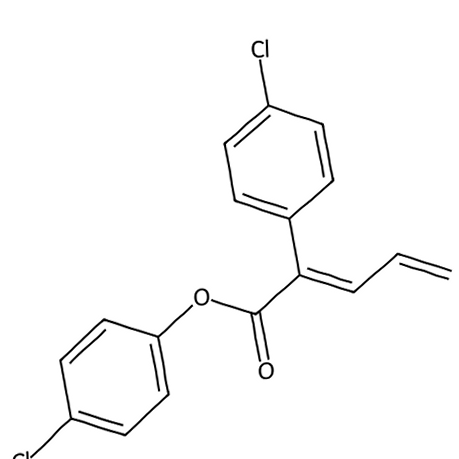 C=CC=C(C(=O)Oc1ccc(Cl)cc1)c1ccc(Cl)cc1